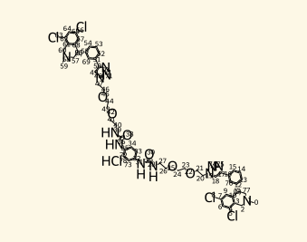 CN1Cc2c(Cl)cc(Cl)cc2[C@H](c2cccc(-c3cn(CCOCCOCCNC(=O)Nc4ccc(NC(=O)NCCOCCOCCn5cc(-c6cccc([C@@H]7CN(C)Cc8c(Cl)cc(Cl)cc87)c6)nn5)cc4)nn3)c2)C1.Cl